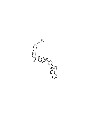 Cn1c(C(=O)N2CCN(Cc3ccc(OCC(F)(F)F)cc3)CC2)cc2ccc(Oc3ccc(NS(=O)(=O)c4cccc(OC(F)(F)F)c4)cn3)cc21